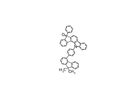 CC1(C)c2ccccc2-c2c(-c3ccc(-n4c5ccccc5c5ccc6c(c54)-c4ccccc4[P@@]6(=O)c4ccccc4)cc3)cccc21